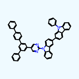 c1ccc(-c2ccc(-c3cc(-c4ccccc4)cc(-c4cnc(-n5c6ccccc6c6cc(-c7ccc8c9ccccc9n(-c9ccccc9)c8c7)ccc65)nc4)c3)cc2)cc1